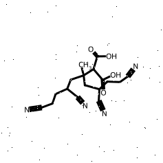 CC(CC(C#N)CCC#N)(CC(C#N)CCC#N)C(C(=O)O)C(=O)O